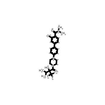 CC(C)C(O)(C(=O)N1CCN(c2ccc(-c3ccc(C(=O)N(C)C)c(Cl)c3)cc2)CC1)C(F)(F)F